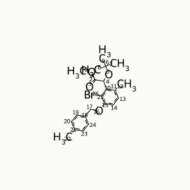 COC(=O)C(OC(C)(C)C)c1c(C)ccc(OCc2ccc(C)cc2)c1Br